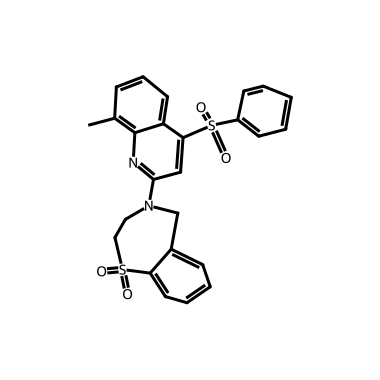 Cc1cccc2c(S(=O)(=O)c3ccccc3)cc(N3CCS(=O)(=O)c4ccccc4C3)nc12